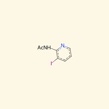 CC(=O)Nc1ncccc1I